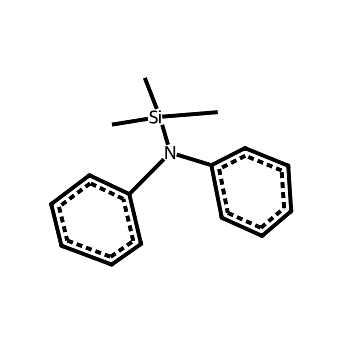 C[Si](C)(C)N(c1ccccc1)c1ccccc1